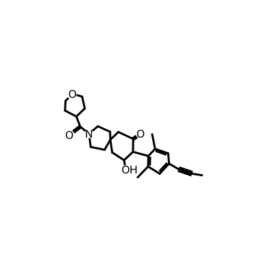 CC#Cc1cc(C)c(C2C(=O)CC3(CCN(C(=O)C4CCOCC4)CC3)CC2O)c(C)c1